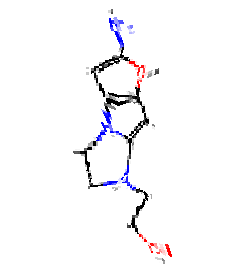 Nc1cc2c(cc3n2CCN3CCO)o1